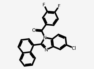 O=C(c1ccc(F)c(F)c1)n1c(-c2cccc3ccccc23)nc2cc(Cl)ccc21